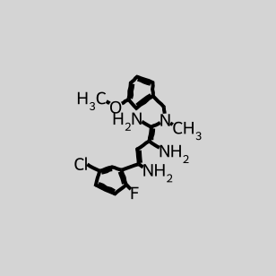 COc1cccc(CN(C)/C(N)=C(N)/C=C(\N)c2cc(Cl)ccc2F)c1